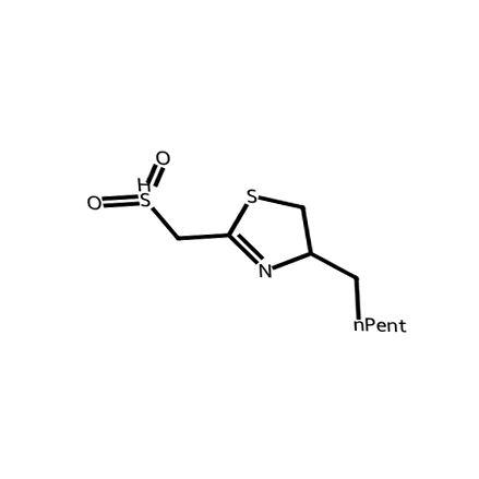 CCCCCCC1CSC(C[SH](=O)=O)=N1